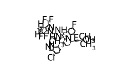 Cn1ncc2c(Cl)ccc(CC3=CCC(C#CC(C)(C)O)N=C3[C@H](Cc3cc(F)cc(F)c3)NC(=N)Cn3nc(C(F)F)c4c3C(F)(F)[C@@H]3C[C@H]43)c21